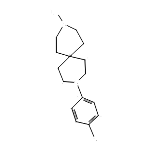 CN1CCC2(CC1)CCN(c1ccc(N)cc1)CC2